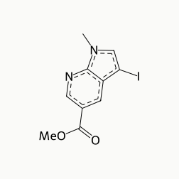 COC(=O)c1cnc2c(c1)c(I)cn2C